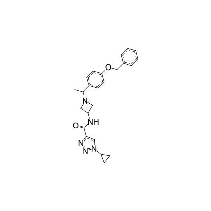 CC(c1ccc(OCc2ccccc2)cc1)N1CC(NC(=O)c2cn(C3CC3)nn2)C1